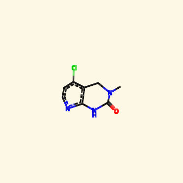 CN1Cc2c(Cl)ccnc2NC1=O